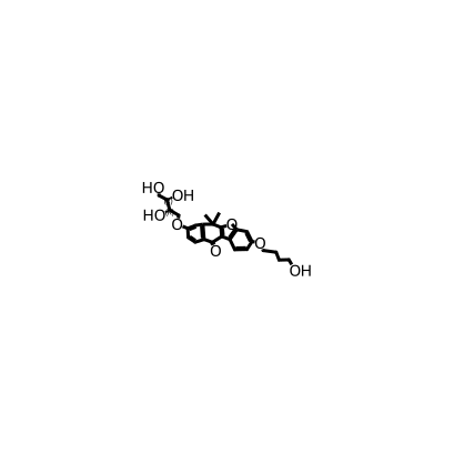 CC1(C)c2cc(OC[C@@H](O)[C@H](O)CO)ccc2C(=O)c2c1oc1cc(OCCCCO)ccc21